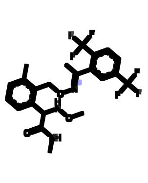 CNC(=O)C(NOC)c1cccc(C)c1CO/N=C(\C)c1cc(C(F)(F)F)ccc1C(F)(F)F